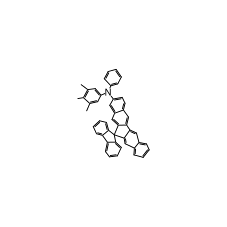 Cc1cc(N(c2ccccc2)c2ccc3cc4c(cc3c2)C2(c3ccccc3-c3ccccc32)c2cc3ccccc3cc2-4)cc(C)c1C